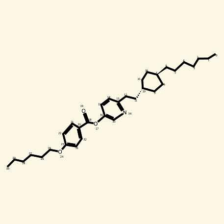 CCCCCCC[C@H]1CC[C@H](CCc2ccc(OC(=O)c3ccc(OCCCCCC)cc3)cn2)CC1